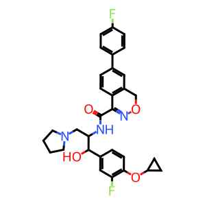 O=C(NC(CN1CCCC1)C(O)c1ccc(OC2CC2)c(F)c1)C1=NOCc2cc(-c3ccc(F)cc3)ccc21